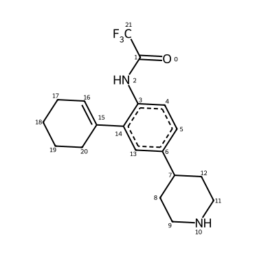 O=C(Nc1ccc(C2CCNCC2)cc1C1=CCCCC1)C(F)(F)F